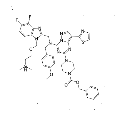 COc1ccc(CN(Cc2nc3c(F)c(F)ccc3n2COCC[SiH](C)C)c2nc(N3CCN(C(=O)OCc4ccccc4)CC3)nc3c(-c4nccs4)cnn23)cc1